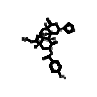 COC1=C[C@@]23CC[C@H]4C(=O)O[C@H](c5ccoc5)C[C@]4(C)[C@H]2C(=O)[C@@H](OC(=O)c2cnc(C)nc2)C[C@@H]13